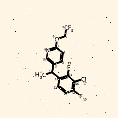 CC(c1ccc(OCC(F)(F)F)nc1)c1ccc(F)c(Cl)c1F